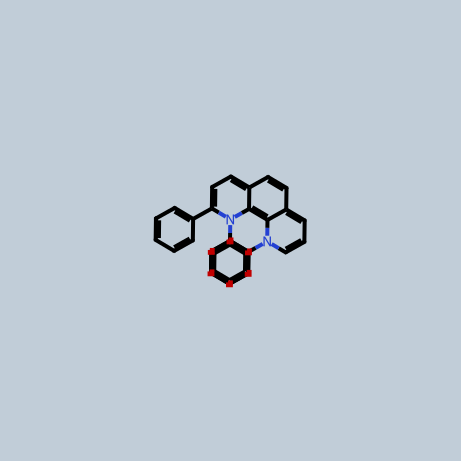 C1=CN(c2ccccc2)c2c3c(ccc2=C1)=CC=C(c1ccccc1)N3c1ccccc1